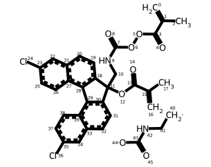 C=C(C)C(=O)OOC(=O)NCC1(OC(=O)C(=C)C)c2ccc3cc(Cl)ccc3c2-c2c1ccc1cc(Cl)ccc21.[CH2]CNC([O])=O